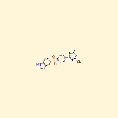 Cc1cc(C#N)nc(N2CCN(S(=O)(=O)c3ccc4c(c3)CCN4)CC2)n1